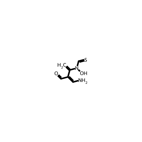 C=C(/C(C=O)=C\N)N(O)C=S